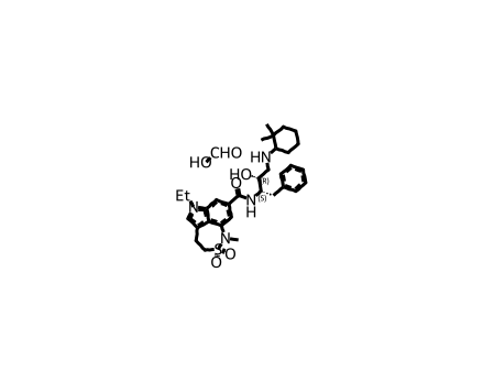 CCn1cc2c3c(cc(C(=O)N[C@@H](Cc4ccccc4)[C@H](O)CNC4CCCCC4(C)C)cc31)N(C)S(=O)(=O)CC2.O=CO